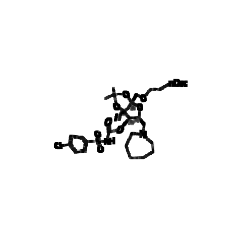 CCCCCCCCCCCCOC[C@@]12O[C@@H](CN3CCCCCC3)[C@@H](OC(=O)NS(=O)(=O)c3ccc(Cl)cc3)[C@@H]1OC(C)(C)O2